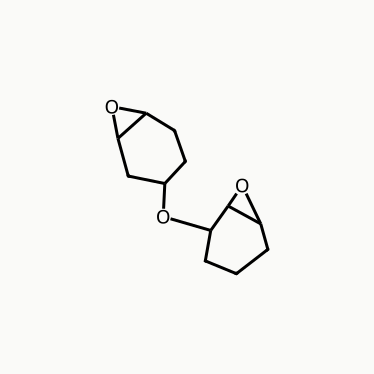 C1CC(OC2CCC3OC3C2)C2OC2C1